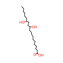 CCCCCCC(O)CCC(O)CCCCCCCCCCC(=O)O